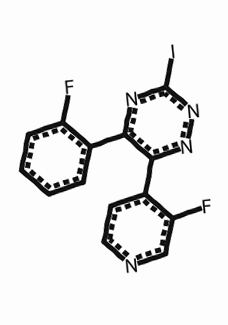 Fc1cnccc1-c1nnc(I)nc1-c1ccccc1F